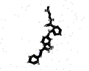 CNCCNC(=O)c1ccccc1Sc1ccc2c(/C=C/c3ccccn3)n[nH]c2c1